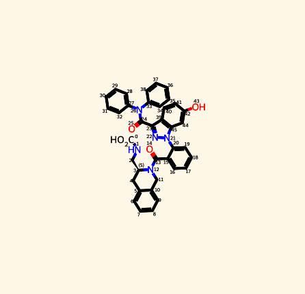 O=C(O)NC[C@@H]1Cc2ccccc2CN1C(=O)c1ccccc1-n1nc(C(=O)N(c2ccccc2)c2ccccc2)c2ccc(O)cc21